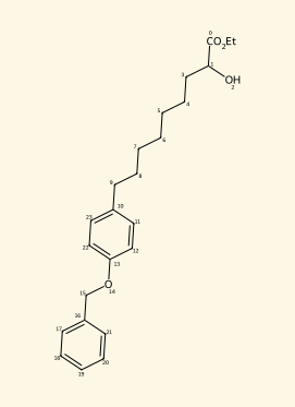 CCOC(=O)C(O)CCCCCCCc1ccc(OCc2ccccc2)cc1